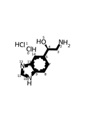 Cl.Cl.NC[C@H](O)c1ccc2[nH]cnc2c1